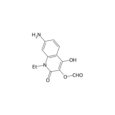 CCn1c(=O)c(OC=O)c(O)c2ccc(N)cc21